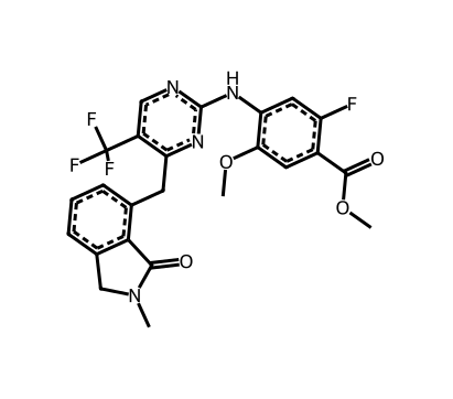 COC(=O)c1cc(OC)c(Nc2ncc(C(F)(F)F)c(Cc3cccc4c3C(=O)N(C)C4)n2)cc1F